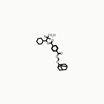 O=C(OCOC1C2CC3CC(C2)CC1C3)c1ccc(C(=O)OC(C2CCCCC2)C(F)(F)C(=O)O)cc1